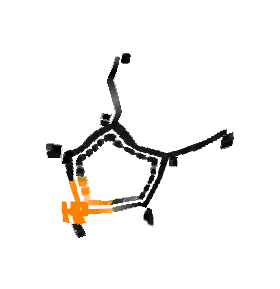 Cc1[c][pH]cc1C